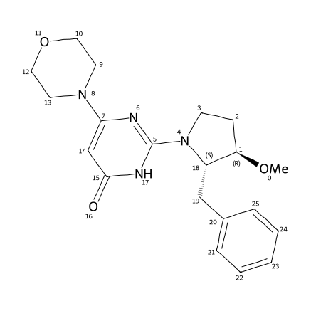 CO[C@@H]1CCN(c2nc(N3CCOCC3)cc(=O)[nH]2)[C@H]1Cc1ccccc1